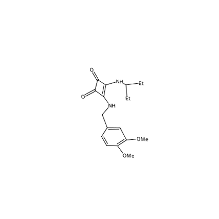 CCC(CC)Nc1c(NCc2ccc(OC)c(OC)c2)c(=O)c1=O